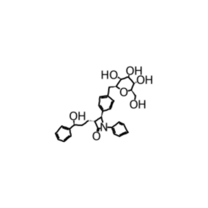 O=C1[C@H](CC[C@H](O)c2ccccc2)[C@@H](c2ccc(C[C@@H]3O[C@H](CO)[C@@H](O)[C@H](O)[C@@H]3O)cc2)N1c1ccccc1